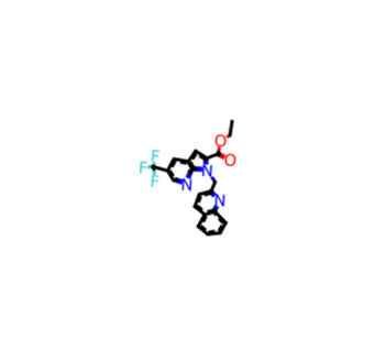 CCOC(=O)c1cc2cc(C(F)(F)F)cnc2n1Cc1ccc2ccccc2n1